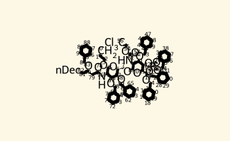 C=CCO[C@H]1O[C@H](CO[C@@H]2O[C@H](COCc3ccccc3)[C@@H](OP(=O)(OCc3ccccc3)OCc3ccccc3)[C@H](OCc3ccccc3)[C@@H]2NC(=O)OCC(Cl)(Cl)Cl)[C@@H](OCc2ccccc2)[C@H](OCc2ccccc2)[C@@H]1NC(=O)C[C@@H](CCCCCCCCCCC)OCc1ccccc1